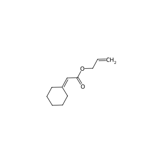 C=CCOC(=O)C=C1CCCCC1